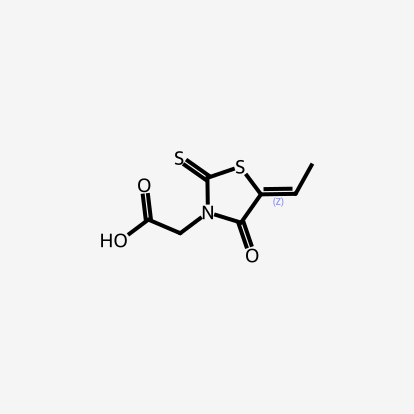 C/C=C1\SC(=S)N(CC(=O)O)C1=O